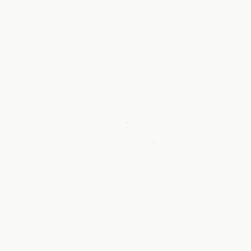 C[C@@H](C=O)OC(C)(C)CO